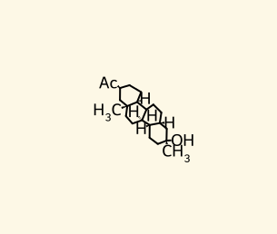 CC(=O)[C@H]1CC[C@H]2[C@@H]3CC[C@@H]4C[C@](C)(O)CC[C@@H]4[C@H]3CC[C@]2(C)C1